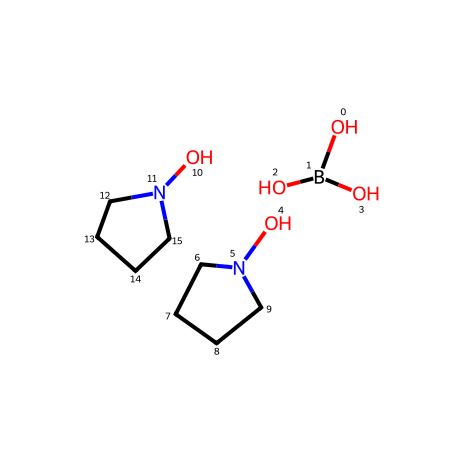 OB(O)O.ON1CCCC1.ON1CCCC1